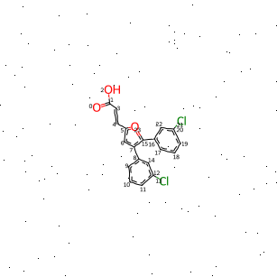 O=C(O)/C=C/c1cc(-c2cccc(Cl)c2)c(-c2cccc(Cl)c2)o1